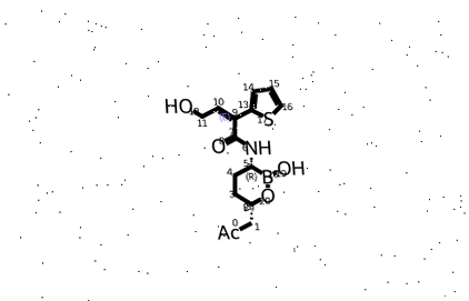 CC(=O)C[C@@H]1CC[C@H](NC(=O)/C(=C\CO)c2cccs2)B(O)O1